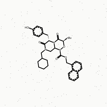 CCCC[C@H]1ON(C(=O)OCc2cccc3ccccc23)C2CN(CC3CCCCC3)C(=O)[C@H](Cc3ccc(O)cc3)N2C1=O